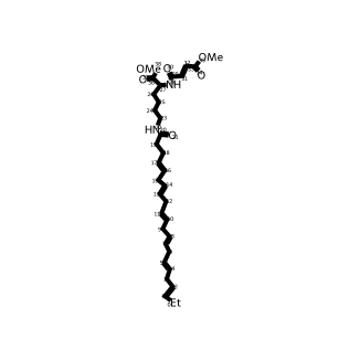 CCC=CCC=CCC=CCC=CCC=CCC=CCCC(=O)NCCCCC(NC(=O)C=CC(=O)OC)C(=O)OC